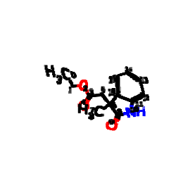 CCOC(=O)CC1(C)C(=O)Nc2ccccc21